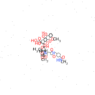 CNC(=O)C1CCC(CN2C(=O)CC(CC3CO[C@H](OC)[C@H]4O[C@@H]5[C@H](C)O[C@@H](O[C@H]6C[C@](O)(C(=O)CO)Cc7c(O)c8c(c(O)c76)C(=O)c6c(OC)cccc6C8=O)C[C@@H]5N34)C2=O)CC1